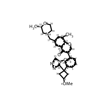 COC1CC(c2cccc(-c3coc4c(C)cc(CN5CCO[C@H](C)C5)cc4c3=O)c2)(c2nncn2C)C1